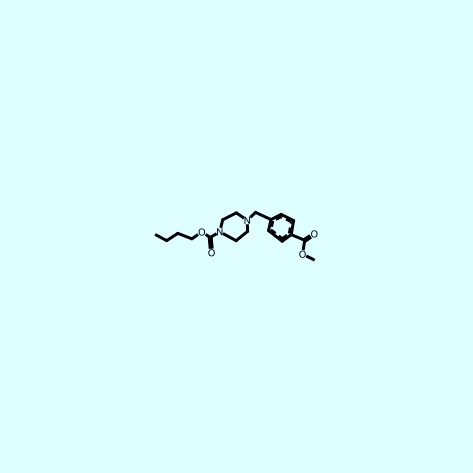 CCCCOC(=O)N1CCN(Cc2ccc(C(=O)OC)cc2)CC1